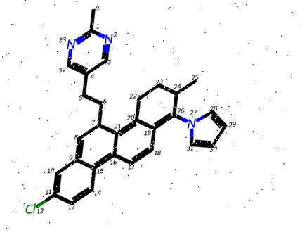 Cc1ncc(CCC2C=c3cc(Cl)ccc3=c3ccc4c(c32)CCC(C)C=4n2cccc2)cn1